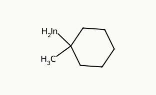 C[C]1([InH2])CCCCC1